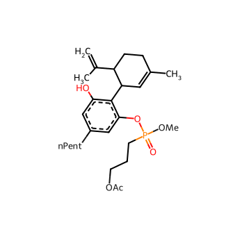 C=C(C)C1CCC(C)=CC1c1c(O)cc(CCCCC)cc1OP(=O)(CCCOC(C)=O)OC